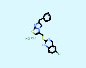 Cl.Cl.Clc1ccc2c(c1)CN=C(SCC1=CSC3=NC(Cc4ccccc4)CN13)N2